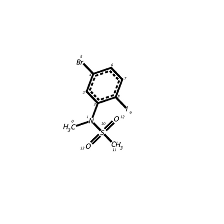 CN(c1cc(Br)ccc1I)S(C)(=O)=O